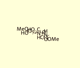 COC(=O)C(C)Nc1ccccc1C(=O)C(CC(=O)O)NCCC(C)(C)c1ccc(OC)c(O)c1